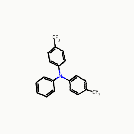 FC(F)(F)c1ccc(N(c2ccccc2)c2ccc(C(F)(F)F)cc2)cc1